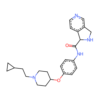 O=C(Nc1ccc(OC2CCN(CCC3CC3)CC2)cc1)C1NCc2cnccc21